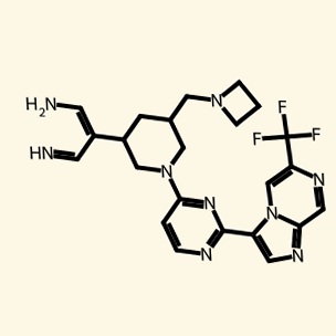 N=C/C(=C\N)C1CC(CN2CCC2)CN(c2ccnc(-c3cnc4cnc(C(F)(F)F)cn34)n2)C1